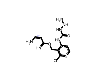 N=C(/C=C\N)OCc1c(NC(=O)NNN)ccnc1Cl